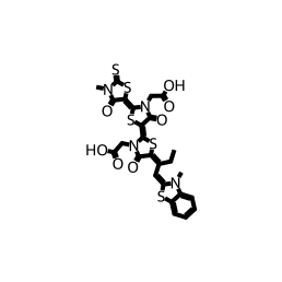 CC/C(C=C1Sc2ccccc2N1C)=c1\s/c(=c2/s/c(=C3/SC(=S)N(C)C3=O)n(CC(=O)O)c2=O)n(CC(=O)O)c1=O